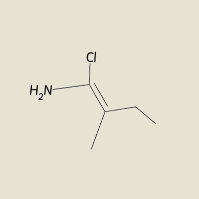 CC/C(C)=C(/N)Cl